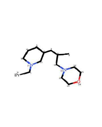 CC(C)CN1CCCC(CC(C)CN2CCOCC2)C1